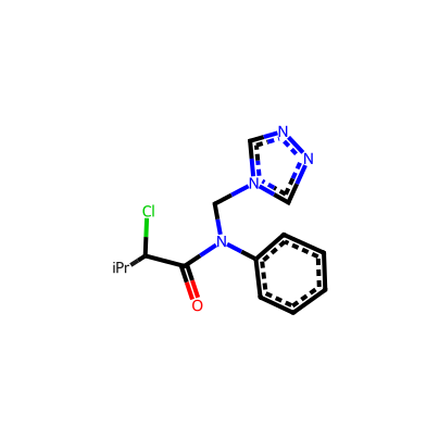 CC(C)C(Cl)C(=O)N(Cn1cnnc1)c1ccccc1